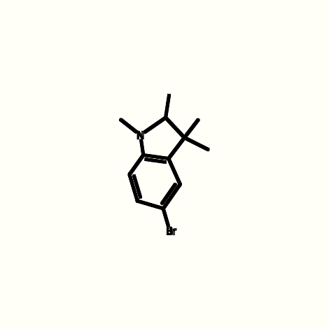 CC1N(C)c2ccc(Br)cc2C1(C)C